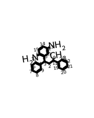 CC(CC(c1ccccc1)c1cc(N)ccc1N)c1ccccc1